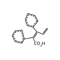 C=CC(=C(C(=O)O)c1ccccc1)c1ccccc1